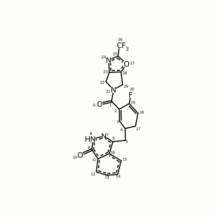 O=C(C1=CC(Cc2n[nH]c(=O)c3ccccc23)CC=C1F)N1Cc2nc(C(F)(F)F)oc2C1